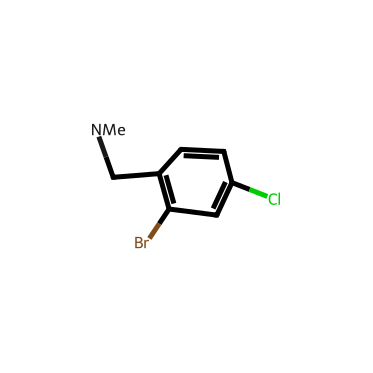 CNCc1ccc(Cl)cc1Br